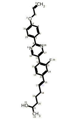 C=CCOc1ccc(-c2ncc(-c3ccc(/C=C/CCCC(C)O)cc3F)cn2)cc1